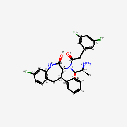 C[C@H](N)C(=O)N(C(=O)Cc1cc(F)cc(F)c1)[C@@H]1C(=O)Nc2cc(F)ccc2C[C@@H]1c1ccccc1